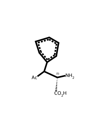 CC(=O)C(c1ccccc1)[C@H](N)C(=O)O